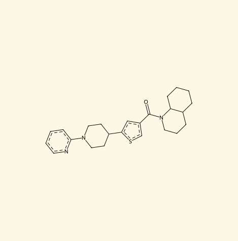 O=C(c1csc(C2CCN(c3ccccn3)CC2)c1)N1CCCC2CCCCC21